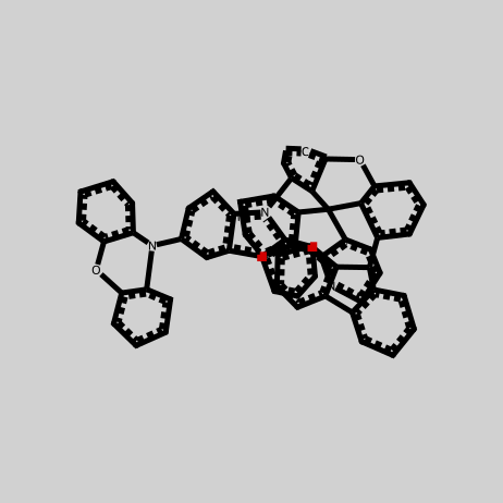 c1ccc2c(c1)Oc1ccccc1N2c1ccc2c(c1)c1ccccc1n2-c1cccc2c1C1(c3cccnc3-c3ncccc31)c1c(cccc1C1c3ccccc3-c3ccccc31)O2